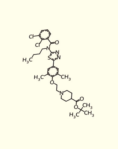 CCCCN(C(=O)c1cccc(Cl)c1Cl)c1nnc(-c2cc(C)c(OCCN3CCC(C(=O)OC(C)(C)C)CC3)c(C)c2)s1